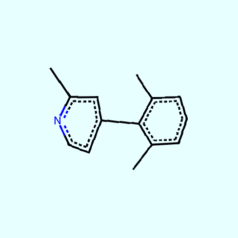 Cc1cc(-c2c(C)cccc2C)ccn1